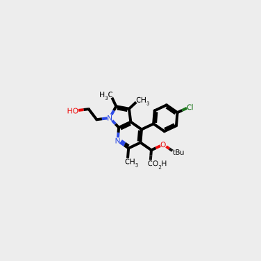 Cc1nc2c(c(C)c(C)n2CCO)c(-c2ccc(Cl)cc2)c1C(OC(C)(C)C)C(=O)O